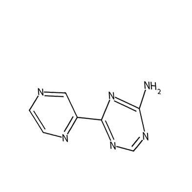 Nc1ncnc(-c2cnccn2)n1